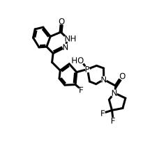 O=C(N1CC[P](O)(c2cc(Cc3n[nH]c(=O)c4ccccc34)ccc2F)CC1)N1CCC(F)(F)C1